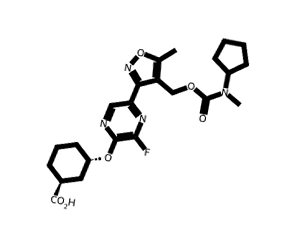 Cc1onc(-c2cnc(O[C@H]3CCC[C@H](C(=O)O)C3)c(F)n2)c1COC(=O)N(C)C1CCCC1